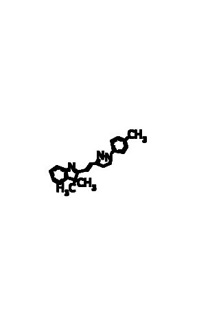 Cc1ccc(N2CCC(/C=C/C3=Nc4ccccc4C3(C)C)=N2)cc1